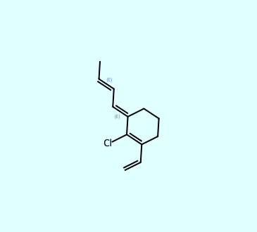 C=CC1=C(Cl)/C(=C/C=C/C)CCC1